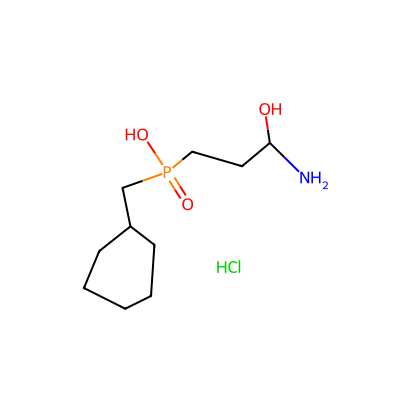 Cl.NC(O)CCP(=O)(O)CC1CCCCC1